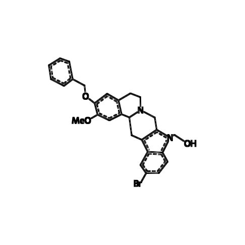 COc1cc2c(cc1OCc1ccccc1)CCN1Cc3c(c4cc(Br)ccc4n3CO)CC21